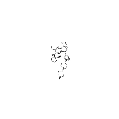 CCc1nc2c(N)ncc(-c3cnn(C4CCN(C5CCN(C)CC5)CC4)c3)c2nc1NC1(O)CCCC1